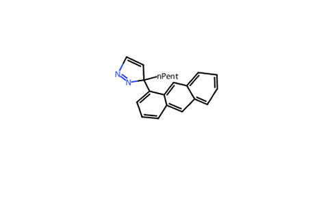 CCCCCC1(c2cccc3cc4ccccc4cc23)C=CN=N1